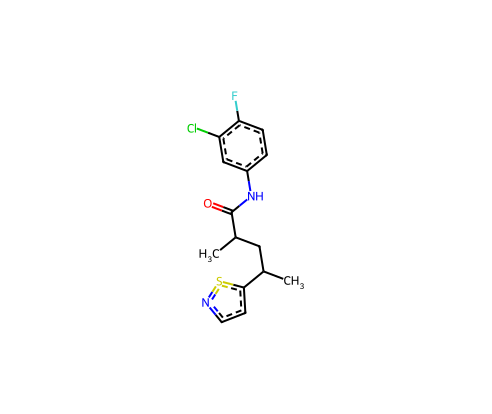 CC(CC(C)c1ccns1)C(=O)Nc1ccc(F)c(Cl)c1